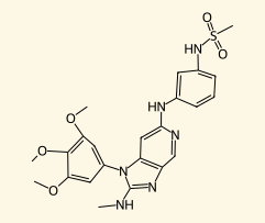 CNc1nc2cnc(Nc3cccc(NS(C)(=O)=O)c3)cc2n1-c1cc(OC)c(OC)c(OC)c1